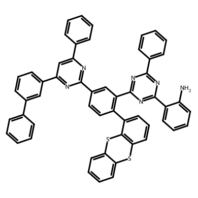 Nc1ccccc1-c1nc(-c2ccccc2)nc(-c2cc(-c3nc(-c4ccccc4)cc(-c4cccc(-c5ccccc5)c4)n3)ccc2-c2cccc3c2Sc2ccccc2S3)n1